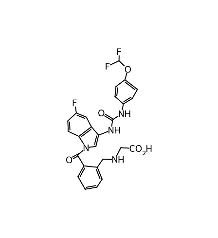 O=C(O)CNCc1ccccc1C(=O)n1cc(NC(=O)Nc2ccc(OC(F)F)cc2)c2cc(F)ccc21